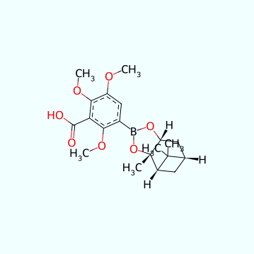 COc1cc(B2O[C@@H]3C[C@@H]4C[C@@H](C4(C)C)[C@]3(C)O2)c(OC)c(C(=O)O)c1OC